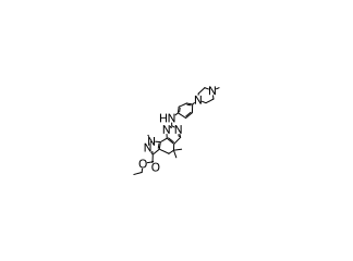 CCOC(=O)c1nn(C)c2c1CC(C)(C)c1cnc(Nc3ccc(N4CCN(C)CC4)cc3)nc1-2